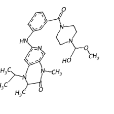 COC(O)N1CCN(C(=O)c2cccc(Nc3cc4c(cn3)N(C)C(=O)C(C)N4C(C)C)c2)CC1